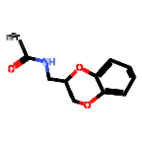 CCCC(=O)NCC1COc2ccccc2O1